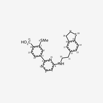 CSc1cc(-c2nccc(NCCc3ccc4c(c3)CCS4)n2)ccc1C(=O)O